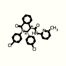 Cc1cccc(NC(=O)[C@@H]2c3ccccc3C(=O)N(c3ccc(Cl)cc3)[C@H]2c2ccc(Cl)cc2)n1